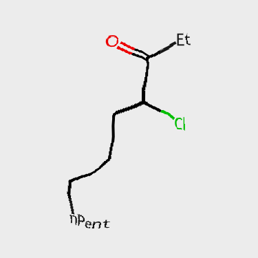 CCCCCCCCC(Cl)C(=O)CC